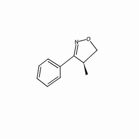 C[C@@H]1CON=C1c1ccccc1